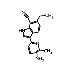 CCc1ccc2c(-c3ccc(N)c(C)n3)c[nH]c2c1C#N